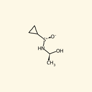 C[C@H](O)N[S@+]([O-])C1CC1